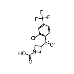 O=C(O)N1CC([S+]([O-])c2ccc(C(F)(F)F)cc2Cl)C1